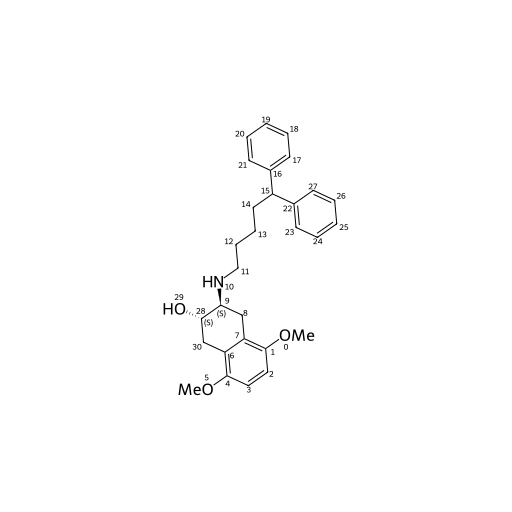 COc1ccc(OC)c2c1C[C@H](NCCCCC(c1ccccc1)c1ccccc1)[C@@H](O)C2